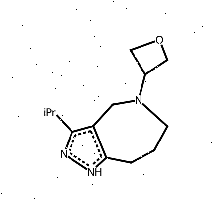 CC(C)c1n[nH]c2c1CN(C1COC1)CCC2